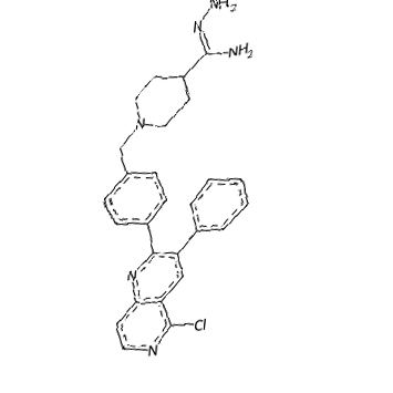 N/N=C(\N)C1CCN(Cc2ccc(-c3nc4ccnc(Cl)c4cc3-c3ccccc3)cc2)CC1